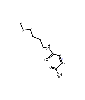 CCCCCCNC(=O)/C=C\C(=O)O